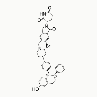 O=C1CCC(N2Cc3cc(CN4CCN(c5ccc([C@@H]6c7ccc(O)cc7CC[C@@H]6c6ccccc6)cc5)CC4)c(Br)cc3C2=O)C(=O)N1